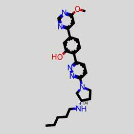 CCCCCN[C@H]1CCN(c2ccc(-c3ccc(-c4cc(OC)ncn4)cc3O)nn2)C1